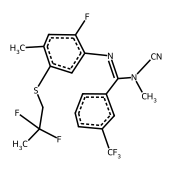 Cc1cc(F)c(/N=C(\c2cccc(C(F)(F)F)c2)N(C)C#N)cc1SCC(C)(F)F